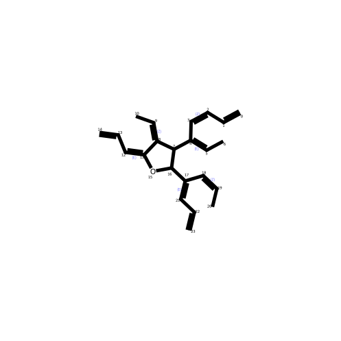 C=C/C=C\C(=C/C)C1C(=C/C)/C(=C\C=C)OC1C(/C=C\C)=C/C=C